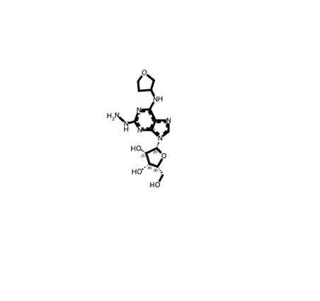 NNc1nc(NC2CCOC2)c2ncn([C@@H]3O[C@H](CO)[C@H](O)[C@@H]3O)c2n1